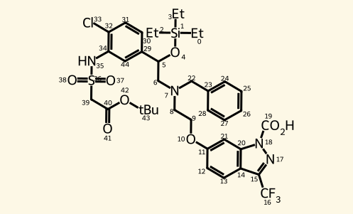 CC[Si](CC)(CC)OC(CN(CCOc1ccc2c(C(F)(F)F)nn(C(=O)O)c2c1)Cc1ccccc1)c1ccc(Cl)c(NS(=O)(=O)CC(=O)OC(C)(C)C)c1